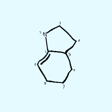 C1=C2[N]CCC2CCC1